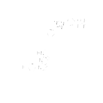 Cc1cs/c(=N\C(=O)NCCCC(C)c2ccc(-c3ncn(-c4ccc(OC(F)(F)F)cc4)n3)cc2)n1-c1ccc(F)cc1C(C)C